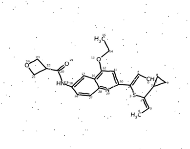 C/C=C(\S/C(=C\C)C1CC1)c1cc(OCC)c2cc(NC(=O)C3COC3)ccc2n1